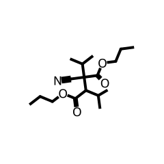 CCCOC(=O)C(C(C)C)C(C#N)(C(=O)OCCC)C(C)C